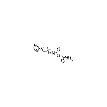 NC(=O)COC(=O)NCC1CCN(c2cnccn2)CC1